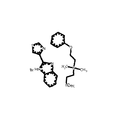 CCCCCCCCCCCC[N+](C)(C)CCOc1ccccc1.[Br-].c1ccc2[nH]c(-c3cscn3)nc2c1